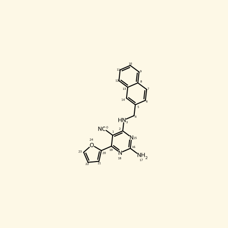 N#Cc1c(NCc2ccc3ccccc3c2)nc(N)nc1-c1ccco1